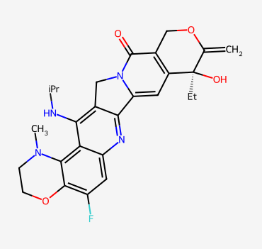 C=C1OCc2c(cc3n(c2=O)Cc2c-3nc3cc(F)c4c(c3c2NC(C)C)N(C)CCO4)[C@@]1(O)CC